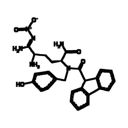 NC(=O)[C@H](CCC(N)C(N)=N[N+](=O)[O-])N(Cc1ccc(O)cc1)C(=O)C1c2ccccc2-c2ccccc21